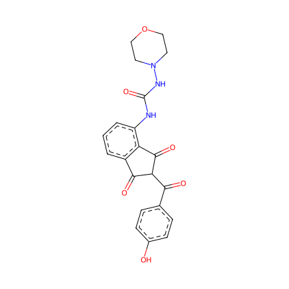 O=C(Nc1cccc2c1C(=O)C(C(=O)c1ccc(O)cc1)C2=O)NN1CCOCC1